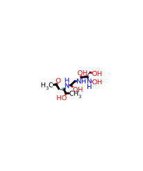 CC(=O)C[C@H](NC(O)CNC(O)[C@H](CO)NO)C(C)O